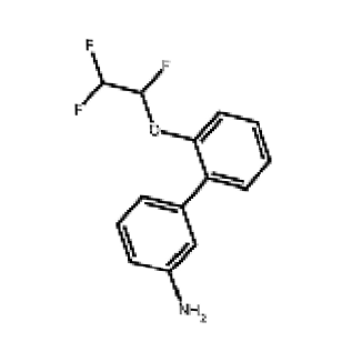 Nc1cccc(-c2ccccc2OC(F)C(F)F)c1